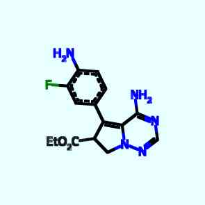 CCOC(=O)C1CN2N=CN=C(N)C2=C1c1ccc(N)c(F)c1